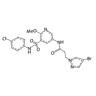 COc1ncc(NC(=O)CCn2cc(Br)cn2)cc1S(=O)(=O)Nc1ccc(Cl)cc1